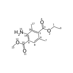 CCOC(=O)c1c(C)cc(C(=O)OC)c(N)c1C